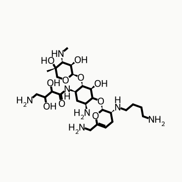 CN[C@@H]1[C@@H](O)[C@@H](O[C@H]2[C@H](NC(=O)C(O)C(O)CN)C[C@H](N)C(O[C@H]3OC(CN)=CC[C@H]3NCCCCN)[C@@H]2O)OC[C@]1(C)O